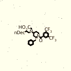 CCCCCCCCCCCCN(CC(=O)O)[C@H]1CCN(C(=O)c2cc(C(F)(F)F)cc(C(F)(F)F)c2)[C@H](Cc2ccccc2)C1